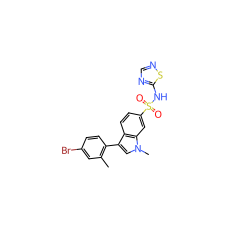 Cc1cc(Br)ccc1-c1cn(C)c2cc(S(=O)(=O)Nc3ncns3)ccc12